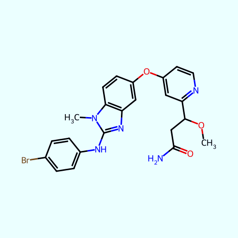 COC(CC(N)=O)c1cc(Oc2ccc3c(c2)nc(Nc2ccc(Br)cc2)n3C)ccn1